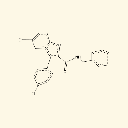 O=C(NCc1ccccc1)c1oc2ccc(Cl)cc2c1-c1ccc(Cl)cc1